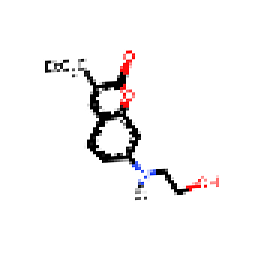 CCOC(=O)c1cc2ccc(N(CC)CCO)cc2oc1=O